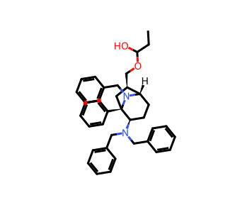 CCC(O)OC[C@@H]1C[C@@]2(c3ccccc3)[C@H](N(Cc3ccccc3)Cc3ccccc3)CC[C@@H]1N2Cc1ccccc1